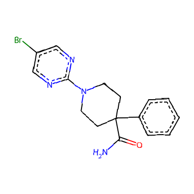 NC(=O)C1(c2ccccc2)CCN(c2ncc(Br)cn2)CC1